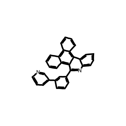 c1cncc(-c2cccc(-c3nc4ccccc4c4c5ccccc5c5ccccc5c34)c2)c1